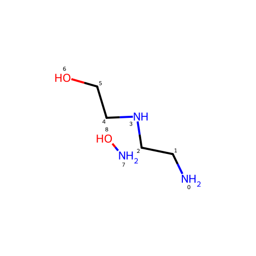 NCCNCCO.NO